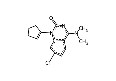 CN(C)c1nc(=O)n(C2=CCCC2)c2cc(Cl)ccc12